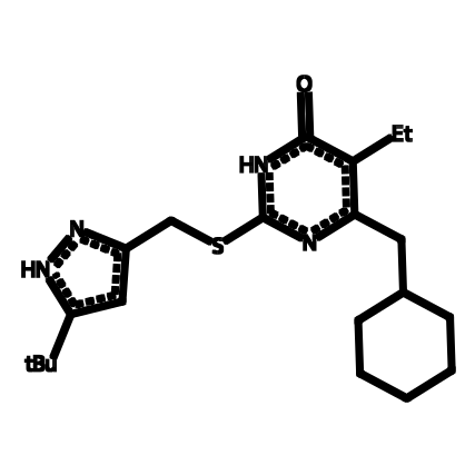 CCc1c(CC2CCCCC2)nc(SCc2cc(C(C)(C)C)[nH]n2)[nH]c1=O